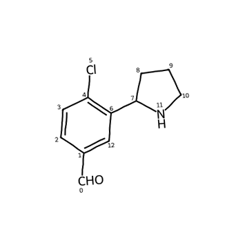 O=Cc1ccc(Cl)c(C2CCCN2)c1